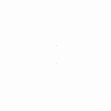 c1ccc(-c2cccc(N(c3ccccc3)c3ccc(-c4cccc5oc6c7ccccc7c(-c7ccc8ccccc8c7)cc6c45)cc3)c2)cc1